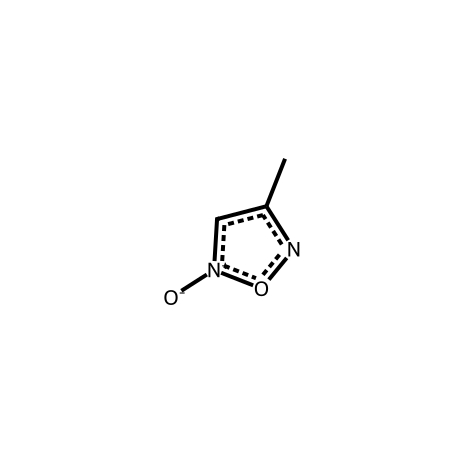 Cc1c[n+]([O-])on1